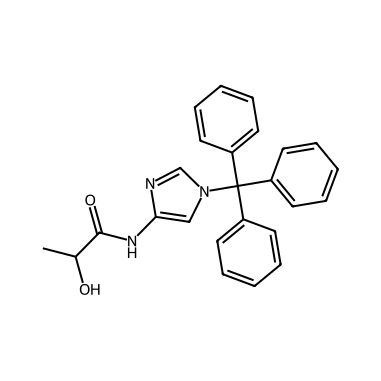 CC(O)C(=O)Nc1cn(C(c2ccccc2)(c2ccccc2)c2ccccc2)cn1